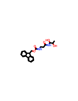 CC(O)C(O)NC(=O)CCNC(=O)OCC1c2ccccc2-c2ccccc21